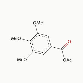 COc1cc(C(=O)OC(C)=O)cc(OC)c1OC